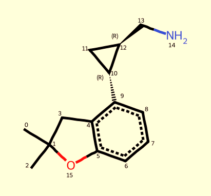 CC1(C)Cc2c(cccc2[C@@H]2C[C@H]2CN)O1